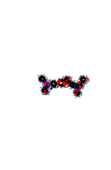 C1=C(c2ccc(-c3nc(-c4ccccc4)nc(-c4ccccc4)n3)cc2)CC=c2oc3c(-c4ccc5c(c4)c4cc(-c6ccccc6)ccc4n5-c4ccccc4)cccc3c2=C1